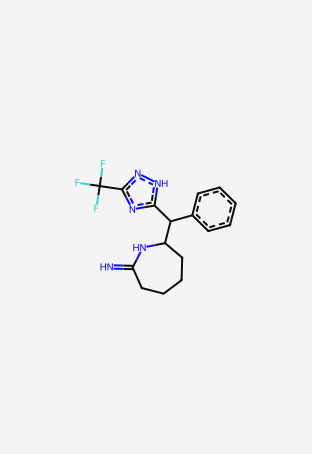 N=C1CCCCC(C(c2ccccc2)c2nc(C(F)(F)F)n[nH]2)N1